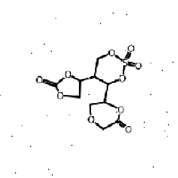 O=C1COCC(C2OS(=O)(=O)OCC2C2COC(=O)O2)O1